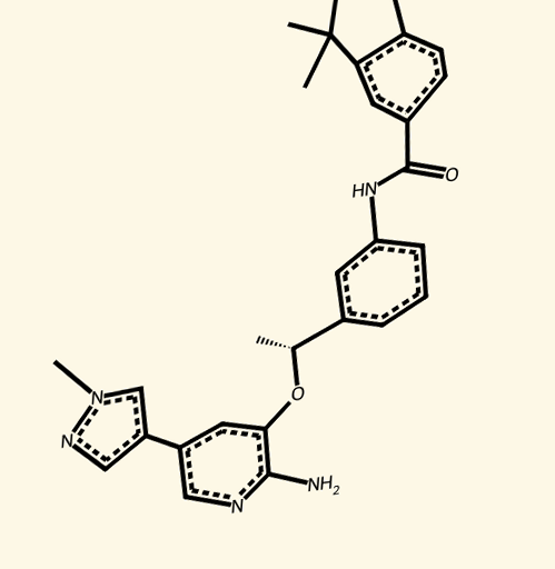 C[C@@H](Oc1cc(-c2cnn(C)c2)cnc1N)c1cccc(NC(=O)c2ccc3c(c2)C(C)(C)OC3)c1